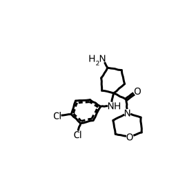 NC1CCC(Nc2ccc(Cl)c(Cl)c2)(C(=O)N2CCOCC2)CC1